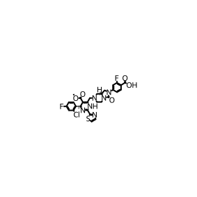 COC(=O)C1=C(CN2CCN3C(=O)N(c4ccc(C(=O)O)c(F)c4)C[C@@H]3C2)NC(c2nccs2)=N[C@H]1c1ccc(F)cc1Cl